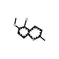 COc1ccc2nc(C)ccc2c1Cl